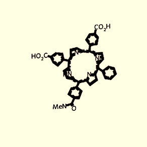 CNC(=O)c1ccc(-c2c3nc(c(-c4ccccc4)c4ccc([nH]4)c(-c4ccc(C(=O)O)cc4)c4nc(c(-c5ccc(C(=O)O)cc5)c5ccc2[nH]5)C=C4)C=C3)cc1